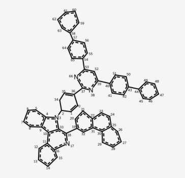 C1=CC(n2c3ccccc3c3c4ccccc4nc(-c4ccc5ccc6ccccc6c5c4)c32)CC=C1c1nc(-c2ccc(-c3ccccc3)cc2)cc(-c2ccc(-c3ccccc3)cc2)n1